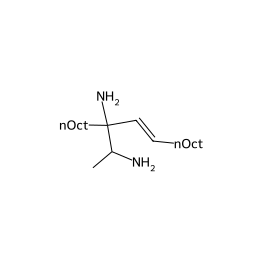 CCCCCCCCC=CC(N)(CCCCCCCC)C(C)N